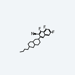 CCCCC1CCC2CC(c3cc4cc(F)cc(F)c4c(F)c3C#N)CCC2C1